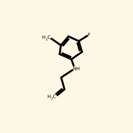 C=CCNc1cc(C)cc(F)c1